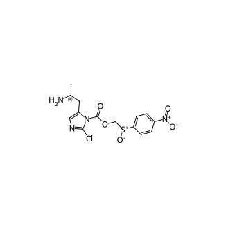 C[C@@H](N)Cc1cnc(Cl)n1C(=O)OC[S+]([O-])c1ccc([N+](=O)[O-])cc1